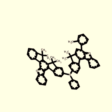 Cc1ccccc1-c1cc2c(c3c1oc1ccccc13)-c1ccc(N(c3ccccc3)c3ccc4c(c3)C(C)(C)c3c5c(c6oc7ccccc7c6c3-4)-c3ccccc3C5(C)C)cc1C2(C)C